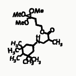 CO[Si](CCCOC(=O)C(C)CNC1CC(C)(C)C(C)C(C)(C)C1)(OC)OC